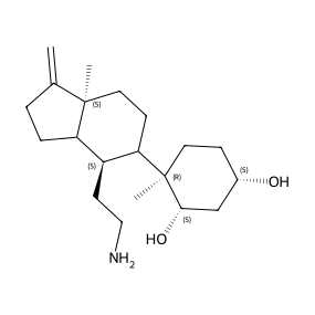 C=C1CCC2[C@H](CCN)C([C@@]3(C)CC[C@H](O)C[C@@H]3O)CC[C@]12C